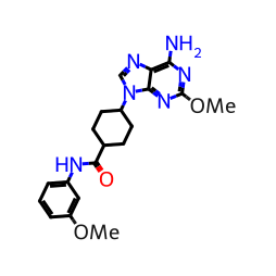 COc1cccc(NC(=O)C2CCC(n3cnc4c(N)nc(OC)nc43)CC2)c1